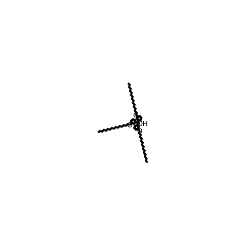 CCCCCCCCCCCCCCCCOc1cccc([Si](O)(c2cccc(OCCCCCCCCCCCCCCCC)c2)c2cccc(OCCCCCCCCCCCCCCCC)c2)c1